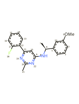 COc1cccc([C@H](C)Nc2cc(-c3ccccc3F)nc(C)n2)c1